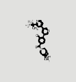 CC1CC2CN(C(=O)c3ccc(-c4cncc(-c5ccnc(C(C)(C)C)c5)c4)c(Cl)c3)CC1C2O